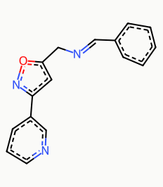 C(=N\Cc1cc(-c2cccnc2)no1)/c1ccccc1